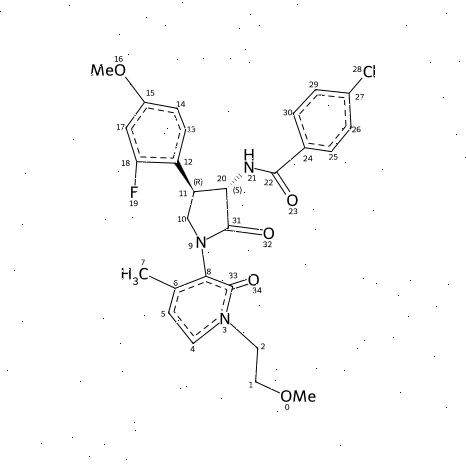 COCCn1ccc(C)c(N2C[C@@H](c3ccc(OC)cc3F)[C@H](NC(=O)c3ccc(Cl)cc3)C2=O)c1=O